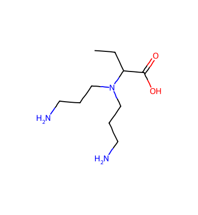 CCC(C(=O)O)N(CCCN)CCCN